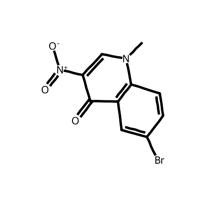 Cn1cc([N+](=O)[O-])c(=O)c2cc(Br)ccc21